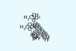 C=C(C)C(=O)OCCC(F)(F)C(F)(F)C(F)(C(F)(F)F)C(F)(F)F.C=C(C)C(=O)OCCC(F)(F)C(F)(F)C(F)(F)C(F)(F)C(F)(F)C(F)(F)C(F)(F)C(F)(F)C(F)(F)C(F)(F)F